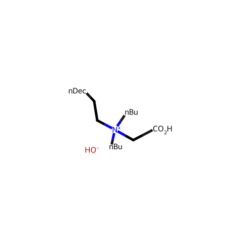 CCCCCCCCCCCC[N+](CCCC)(CCCC)CC(=O)O.[OH-]